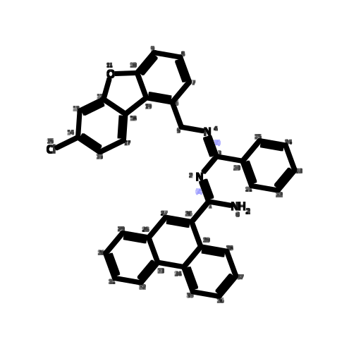 N/C(=N\C(=N/Cc1cccc2oc3cc(Cl)ccc3c12)c1ccccc1)c1cc2ccccc2c2ccccc12